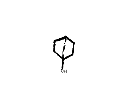 OC12CCC(CC1)CC2